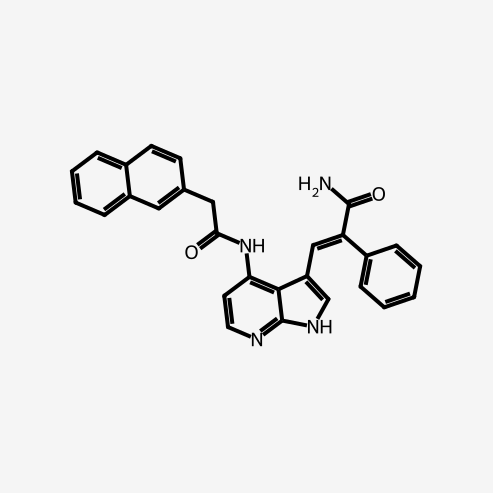 NC(=O)/C(=C/c1c[nH]c2nccc(NC(=O)Cc3ccc4ccccc4c3)c12)c1ccccc1